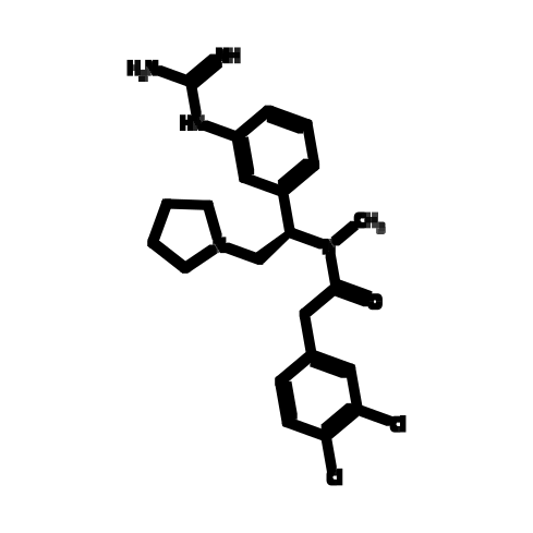 CN(C(=O)Cc1ccc(Cl)c(Cl)c1)[C@@H](CN1CCCC1)c1cccc(NC(=N)N)c1